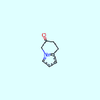 O=C1CCc2cccn2C1